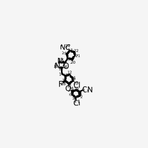 N#Cc1cc(Cl)cc(Oc2c(Cl)ccc(Cc3nnc(-c4cccc(C#N)c4)o3)c2F)c1